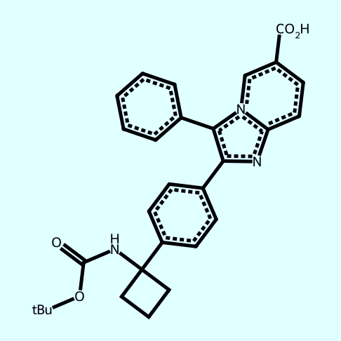 CC(C)(C)OC(=O)NC1(c2ccc(-c3nc4ccc(C(=O)O)cn4c3-c3ccccc3)cc2)CCC1